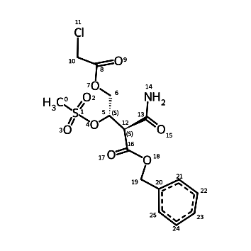 CS(=O)(=O)O[C@H](COC(=O)CCl)[C@@H](C(N)=O)C(=O)OCc1ccccc1